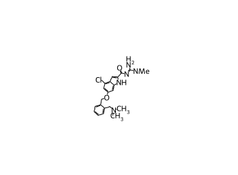 CNC(N)=NC(=O)c1cc2c(Cl)cc(OCc3ccccc3CN(C)C)cc2[nH]1